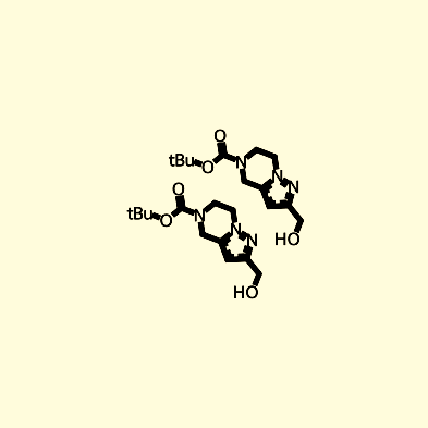 CC(C)(C)OC(=O)N1CCn2nc(CO)cc2C1.CC(C)(C)OC(=O)N1CCn2nc(CO)cc2C1